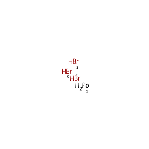 Br.Br.Br.[PoH2]